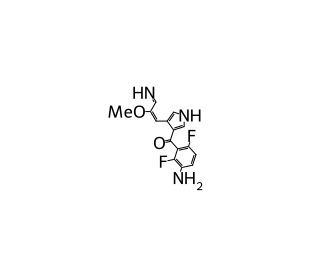 CO/C(C=N)=C/c1c[nH]cc1C(=O)c1c(F)ccc(N)c1F